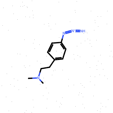 CN(C)CCc1ccc(N=[N+]=N)cc1